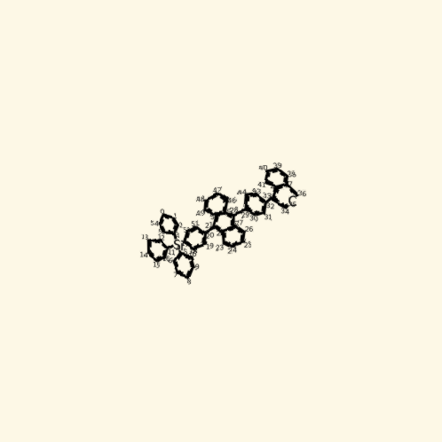 c1ccc([Si](c2ccccc2)(c2ccccc2)c2ccc(-c3c4ccccc4c(-c4ccc(-c5cccc6ccccc56)cc4)c4ccccc34)cc2)cc1